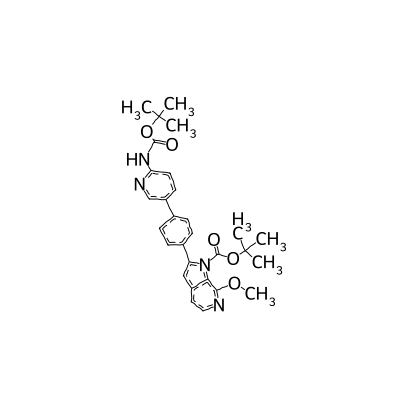 COc1nccc2cc(-c3ccc(-c4ccc(NC(=O)OC(C)(C)C)nc4)cc3)n(C(=O)OC(C)(C)C)c12